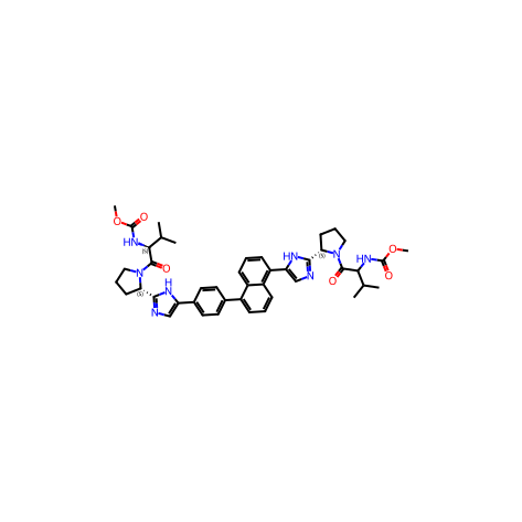 COC(=O)NC(C(=O)N1CCC[C@H]1c1ncc(-c2cccc3c(-c4ccc(-c5cnc([C@@H]6CCCN6C(=O)[C@@H](NC(=O)OC)C(C)C)[nH]5)cc4)cccc23)[nH]1)C(C)C